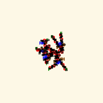 CC(NC(=S)OCC(C)(COC(=S)NC(C)OOF)C(=O)OCC(COCC(COC(=O)C(C)(COC(=S)NCCOCCOF)COC(=S)NCCOCCOF)OC(=O)C(C)(COC(=S)NCCOCCOF)COC(S)NCCOCCOF)OC(=O)C(C)(COC(=S)NC(C)OOF)COC(=S)NC(C)OOF)OOF